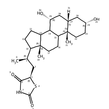 C[C@H](C[C@H]1SC(=O)NC1=O)C1CCC2C3C(CC[C@@]21C)[C@@]1(C)CC[C@@H](O)C[C@H]1C[C@H]3O